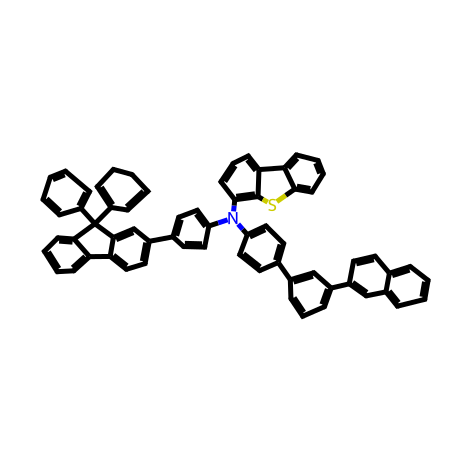 C1=CC(C2(c3ccccc3)c3ccccc3-c3ccc(-c4ccc(N(c5ccc(-c6cccc(-c7ccc8ccccc8c7)c6)cc5)c5cccc6c5sc5ccccc56)cc4)cc32)=CCC1